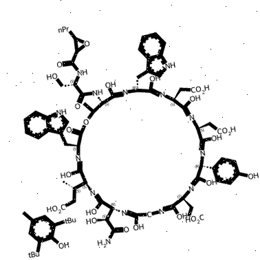 CCCC1OC1C(=O)N[C@@H](CO)C(=O)N[C@@H]1C(O)=N[C@H](Cc2c[nH]c3ccccc23)C(O)=N[C@@H](CC(=O)O)C(O)=N[C@@H](CC(=O)O)C(O)=N[C@H](c2ccc(O)cc2)C(O)=N[C@@H](CC(=O)O)C(O)=NCC(O)=N[C@H]([C@H](O)C(N)=O)C(O)=N[C@@H]([C@@H](C)CC(=O)O)C(O)=N[C@@H](Cc2c[nH]c3ccccc23)C(=O)OC1C.Cc1cc(C(C)(C)C)c(O)c(C(C)(C)C)c1